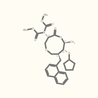 C[C@@H]1OC(=O)[C@@H](N(C(=O)OC(C)(C)C)C(=O)OC(C)(C)C)COC[C@H](Cc2cccc3ccccc23)[C@H]1OC1CCCC1